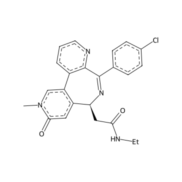 CCNC(=O)C[C@@H]1N=C(c2ccc(Cl)cc2)c2ncccc2-c2cn(C)c(=O)cc21